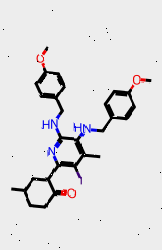 COc1ccc(CNc2nc(C3CC(C)CCC3=O)c(I)c(C)c2NCc2ccc(OC)cc2)cc1